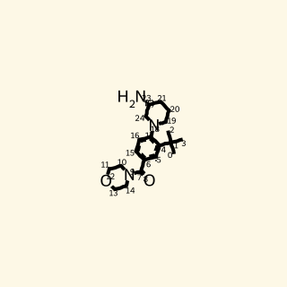 CC(C)(C)c1[c]c(C(=O)N2CCOCC2)ccc1N1CCC[C@H](N)C1